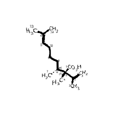 C=C(C)[C@@](C)(C(=O)O)[C@H](C)CCCC=C(C)C